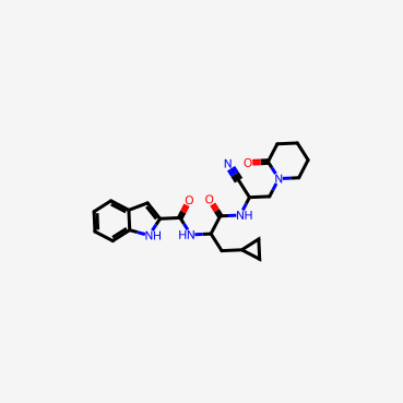 N#CC(CN1CCCCC1=O)NC(=O)C(CC1CC1)NC(=O)c1cc2ccccc2[nH]1